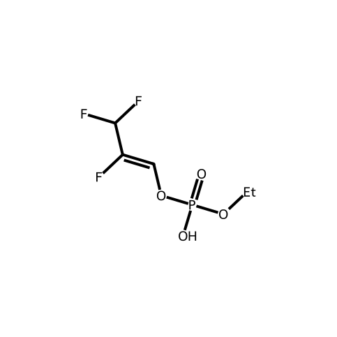 CCOP(=O)(O)OC=C(F)C(F)F